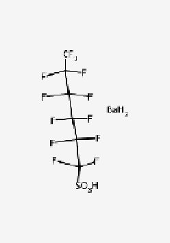 O=S(=O)(O)C(F)(F)C(F)(F)C(F)(F)C(F)(F)C(F)(F)C(F)(F)F.[BaH2]